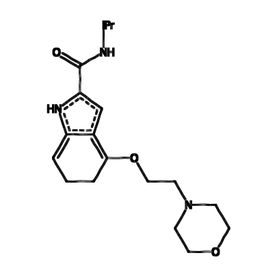 CC(C)NC(=O)c1cc2c([nH]1)=CCCC=2OCCN1CCOCC1